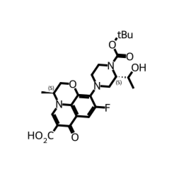 CC(O)[C@@H]1CN(c2c(F)cc3c(=O)c(C(=O)O)cn4c3c2OC[C@@H]4C)CCN1C(=O)OC(C)(C)C